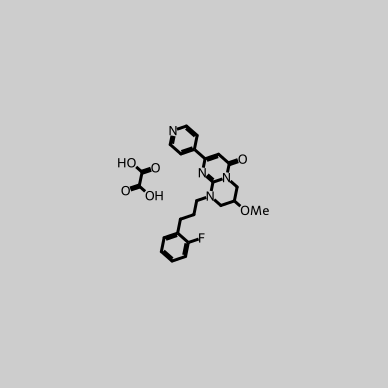 COC1CN(CCCc2ccccc2F)c2nc(-c3ccncc3)cc(=O)n2C1.O=C(O)C(=O)O